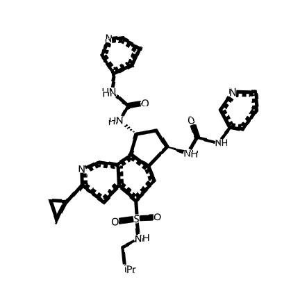 CC(C)CNS(=O)(=O)c1cc2c(c3cnc(C4CC4)cc13)[C@H](NC(=O)Nc1cccnc1)C[C@H]2NC(=O)Nc1cccnc1